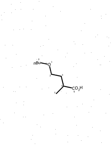 CCCCOCCC(C)C(=O)O